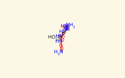 NCCOCCOCCCNC(=O)CC[C@@H](NC(=O)c1ccc(NCc2cnc3nc(N)[nH]c(=O)c3n2)cc1)C(=O)O